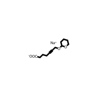 O=C([O-])CCCC#CCOC1CCCCO1.[Na+]